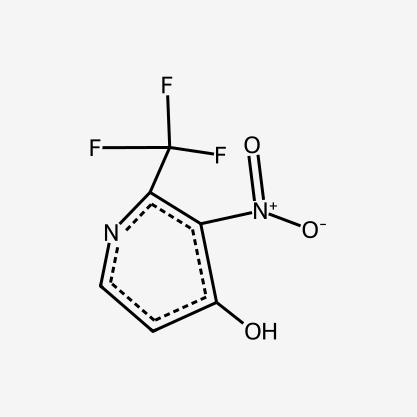 O=[N+]([O-])c1c(O)ccnc1C(F)(F)F